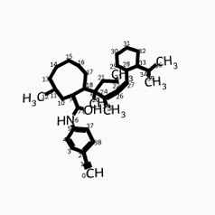 C#Cc1ccc(NC(O)C2CC(C)CCCCCC2C(C)(CCC)C(C)=C=CC2CCCCC2C(C)C)cc1